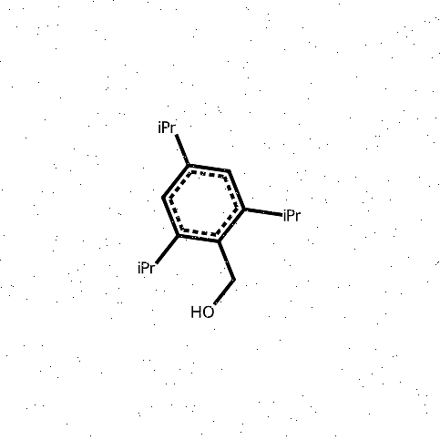 CC(C)c1cc(C(C)C)c(CO)c(C(C)C)c1